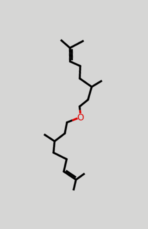 CC(C)=CCCC(C)CCOCCC(C)CCC=C(C)C